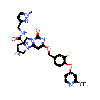 C[C@H]1CN2c3cc(OCc4ccc(Oc5ccnc(C(F)(F)F)c5)c(F)c4)nc(=O)n3C[C@@]2(C(=O)NCc2ccn(C)n2)C1